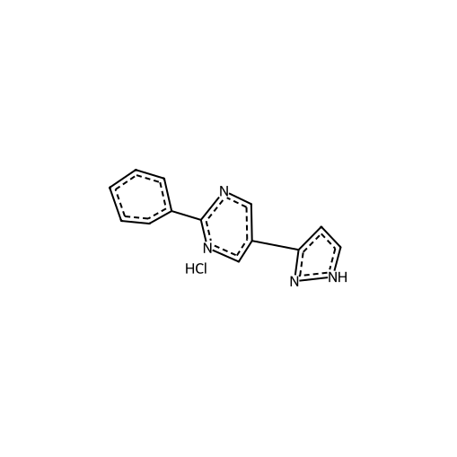 Cl.c1ccc(-c2ncc(-c3cc[nH]n3)cn2)cc1